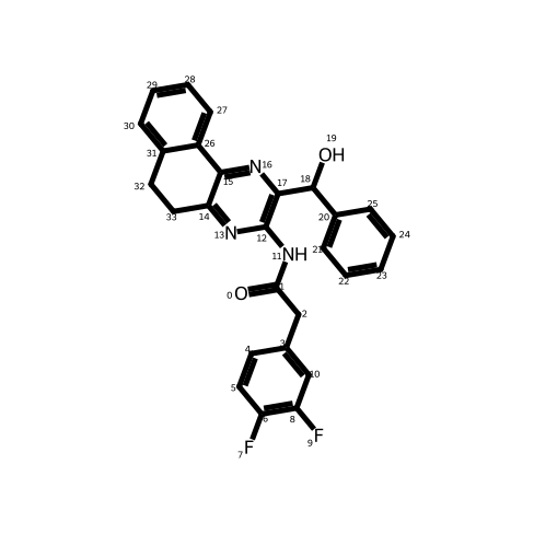 O=C(Cc1ccc(F)c(F)c1)Nc1nc2c(nc1C(O)c1ccccc1)-c1ccccc1CC2